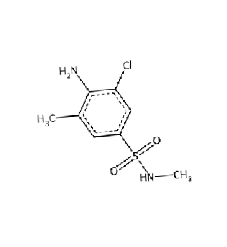 CNS(=O)(=O)c1cc(C)c(N)c(Cl)c1